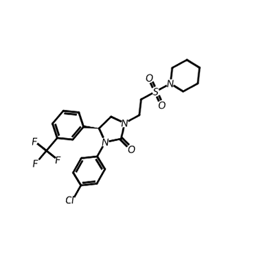 O=C1N(CCS(=O)(=O)N2CCCCC2)C[C@H](c2cccc(C(F)(F)F)c2)N1c1ccc(Cl)cc1